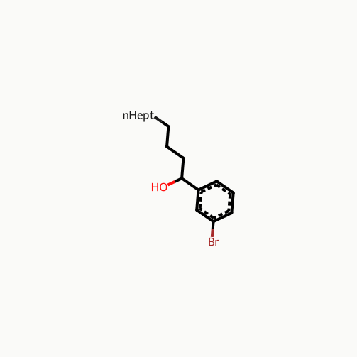 CCCCCCCCCCC(O)c1cccc(Br)c1